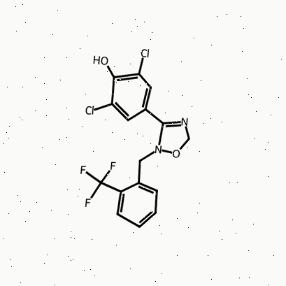 Oc1c(Cl)cc(C2=NCON2Cc2ccccc2C(F)(F)F)cc1Cl